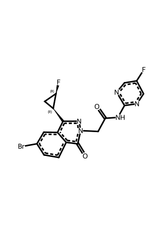 O=C(Cn1nc([C@H]2C[C@H]2F)c2cc(Br)ccc2c1=O)Nc1ncc(F)cn1